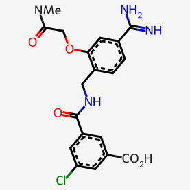 CNC(=O)COc1cc(C(=N)N)ccc1CNC(=O)c1cc(Cl)cc(C(=O)O)c1